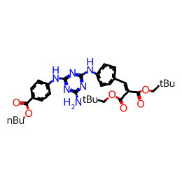 CCCCOC(=O)c1ccc(Nc2nc(N)nc(Nc3ccc(C=C(C(=O)OCC(C)(C)C)C(=O)OCC(C)(C)C)cc3)n2)cc1